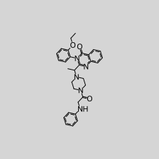 CCOc1ccccc1-n1c(C(C)N2CCN(C(=O)CNc3ccccc3)CC2)nc2ccccc2c1=O